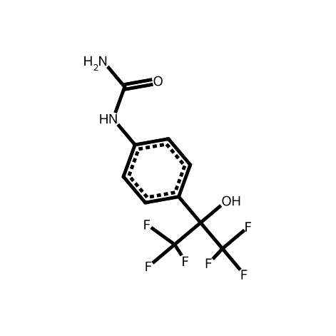 NC(=O)Nc1ccc(C(O)(C(F)(F)F)C(F)(F)F)cc1